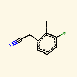 Cc1c(Br)cccc1CC#N